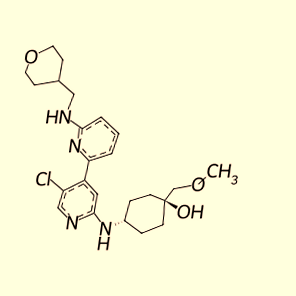 COC[C@]1(O)CC[C@H](Nc2cc(-c3cccc(NCC4CCOCC4)n3)c(Cl)cn2)CC1